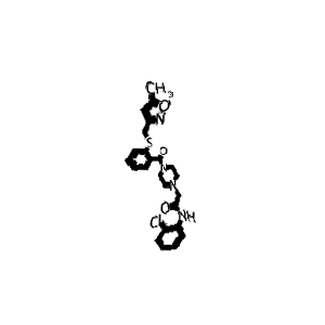 Cc1cc(CSc2ccccc2C(=O)N2CCN(CC(=O)NC3=C(Cl)CCC=C3)CC2)no1